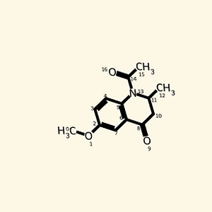 COc1ccc2c(c1)C(=O)CC(C)N2C(C)=O